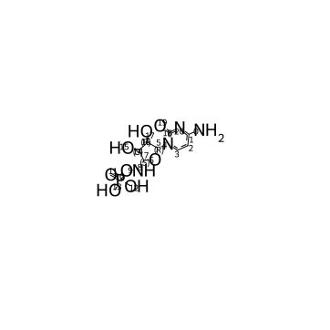 Nc1ccn([C@@H]2O[C@H](NOP(=O)(O)O)[C@@H](O)[C@H]2O)c(=O)n1